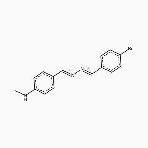 CNc1ccc(/C=N/N=C/c2ccc(Br)cc2)cc1